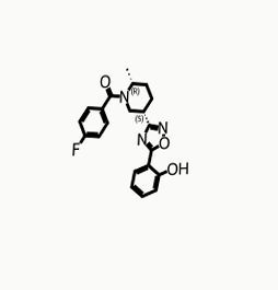 C[C@@H]1CC[C@H](c2noc(-c3ccccc3O)n2)CN1C(=O)c1ccc(F)cc1